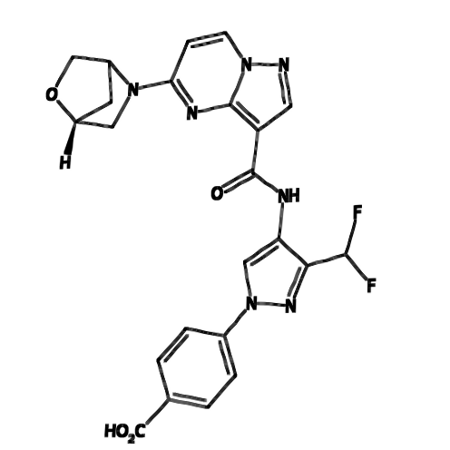 O=C(O)c1ccc(-n2cc(NC(=O)c3cnn4ccc(N5C[C@H]6CC5CO6)nc34)c(C(F)F)n2)cc1